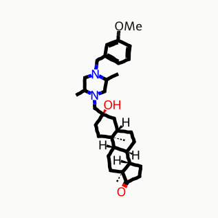 COc1cccc(CN2CC(C)N(C[C@@]3(O)CC[C@@]4(C)[C@@H](CC[C@@H]5[C@@H]4CC[C@]4(C)C(=O)CC[C@@H]54)C3)CC2C)c1